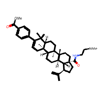 C=C(C)[C@@H]1CC[C@]2(C(=O)NCCNC)CC[C@]3(C)[C@H](CC[C@@H]4[C@@]5(C)CC=C(c6ccc(C(=O)OC)cc6)C(C)(C)[C@@H]5CC[C@]43C)[C@@H]12